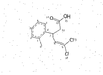 Cc1ccccc1C(C=C(Cl)Cl)CC(=O)O